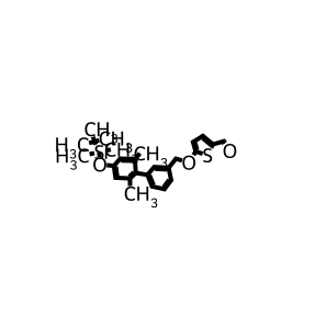 Cc1cc(O[Si](C)(C)C(C)(C)C)cc(C)c1-c1cccc(COc2ccc(C=O)s2)c1